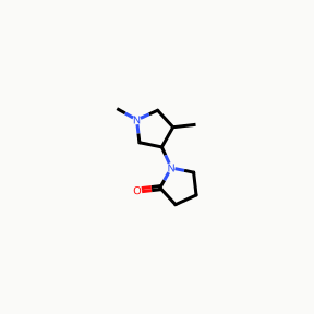 CC1CN(C)CC1N1CCCC1=O